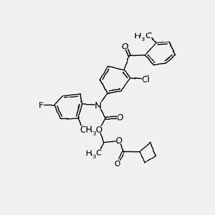 Cc1ccccc1C(=O)c1ccc(N(C(=O)OC(C)OC(=O)C2CCC2)c2ccc(F)cc2C)cc1Cl